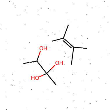 CC(C)=C(C)C.CC(O)C(C)(O)O